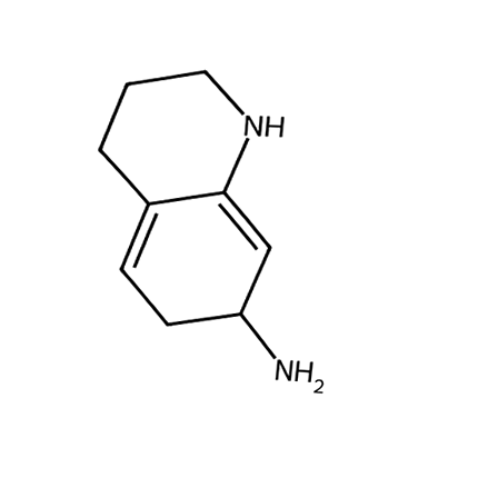 NC1C=C2NCCCC2=CC1